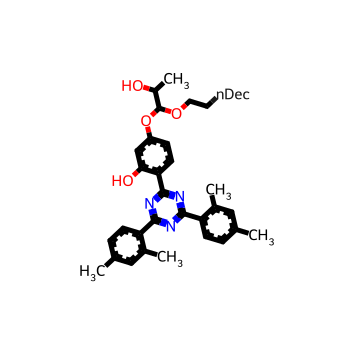 CCCCCCCCCCCCOC(Oc1ccc(-c2nc(-c3ccc(C)cc3C)nc(-c3ccc(C)cc3C)n2)c(O)c1)C(C)O